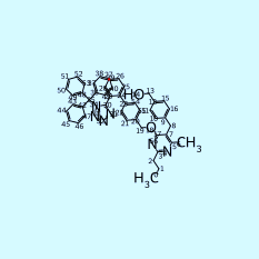 CCCc1nc(C)c(Cc2ccc(CO)cc2)c(OCc2ccc(-c3ccccc3-c3nnnn3C(c3ccccc3)(c3ccccc3)c3ccccc3)cc2)n1